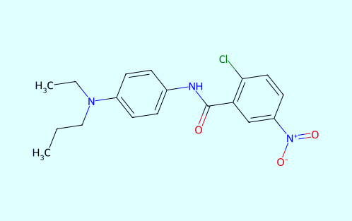 CCCN(CC)c1ccc(NC(=O)c2cc([N+](=O)[O-])ccc2Cl)cc1